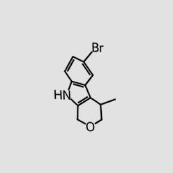 CC1COCc2[nH]c3ccc(Br)cc3c21